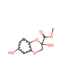 COC(=O)C1(O)COc2cc(O)ccc2O1